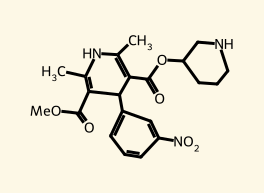 COC(=O)C1=C(C)NC(C)=C(C(=O)OC2CCCNC2)C1c1cccc([N+](=O)[O-])c1